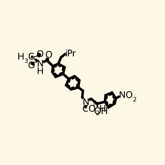 CC(C)Cc1cc(-c2ccc(CCN(C[C@H](O)c3ccc([N+](=O)[O-])cc3)C(=O)O)cc2)ccc1C(=O)NS(C)(=O)=O